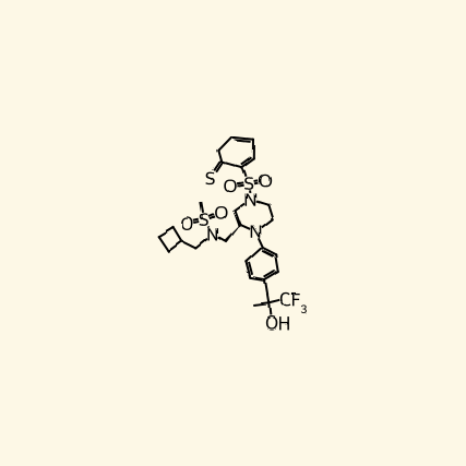 CC(O)(c1ccc(N2CCN(S(=O)(=O)C3=CC=CCC3=S)C[C@@H]2CN(CC2CCC2)S(C)(=O)=O)cc1)C(F)(F)F